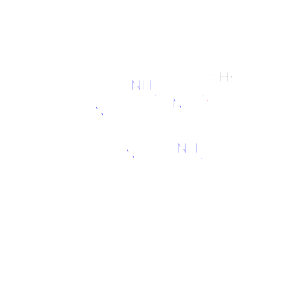 N/C(=N\OC=O)c1nc(-c2ccccc2)cnc1N